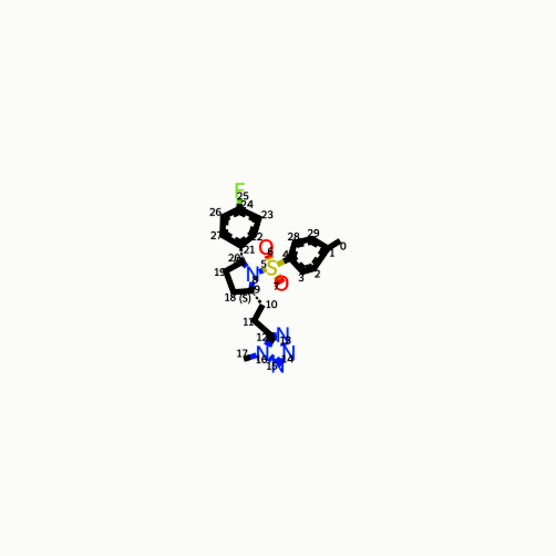 Cc1ccc(S(=O)(=O)N2[C@H](CCc3nnnn3C)CC[C@@H]2c2ccc(F)cc2)cc1